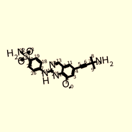 COc1cc(C#CC(C)(C)N)cc2cnc(Nc3ccc(S(N)(=O)=O)cc3)nc12